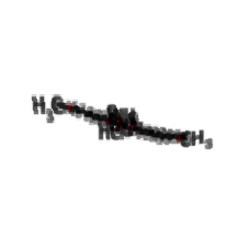 CCCCCCCCCCCCCCCC(=S)OC(N)CCSC(=S)CCCCCCCCCCCCCCC.Cl